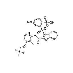 Cc1c(OCC(F)(F)F)ccnc1C[S+]([O-])c1nc2ccccc2n1S(=O)(=O)c1ccccc1S(=O)(=O)O.[NaH]